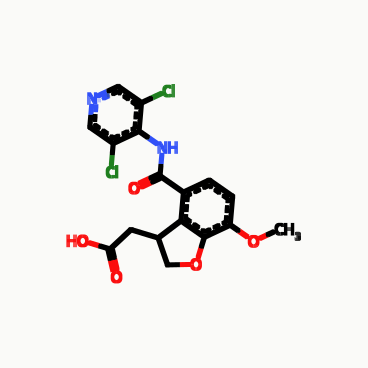 COc1ccc(C(=O)Nc2c(Cl)cncc2Cl)c2c1OCC2CC(=O)O